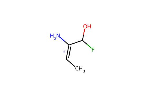 C/C=C(/N)C(O)F